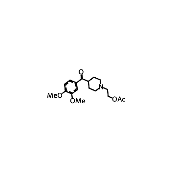 COc1ccc(C(=O)C2CCN(CCOC(C)=O)CC2)cc1OC